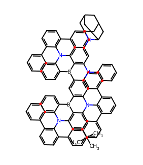 CC(C)(C)c1cc2c3c(c1)N(c1c(-c4ccccc4)cccc1-c1ccccc1)c1cc4c(cc1B3c1ccccc1N2c1c(-c2ccccc2)cccc1-c1ccccc1)B1c2ccccc2N(c2c(-c3ccccc3)cccc2-c2ccccc2)c2cc(N3C5CC6CC(C5)CC3C6)cc(c21)N4c1ccccc1